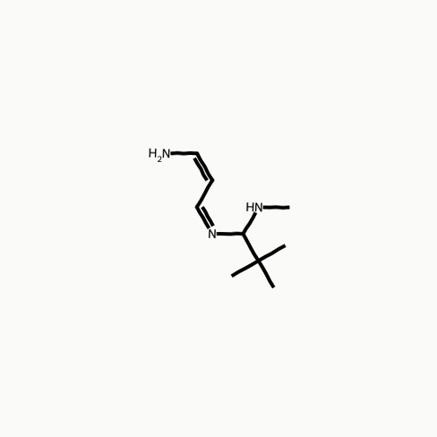 CNC(/N=C\C=C/N)C(C)(C)C